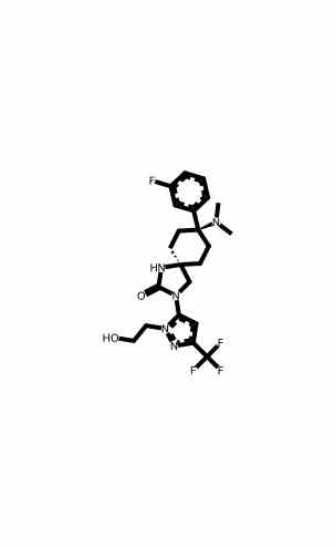 CN(C)[C@]1(c2cccc(F)c2)CC[C@]2(CC1)CN(c1cc(C(F)(F)F)nn1CCO)C(=O)N2